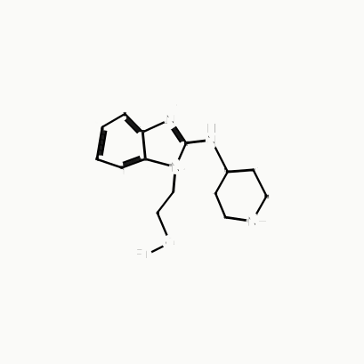 CCOCCn1c(NC2CCNCC2)nc2ccccc21